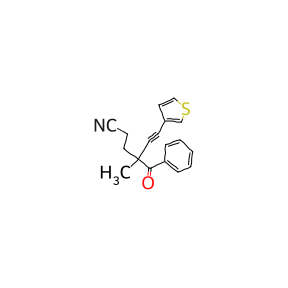 CC(C#Cc1ccsc1)(CCC#N)C(=O)c1ccccc1